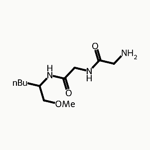 CCCCC(COC)NC(=O)CNC(=O)CN